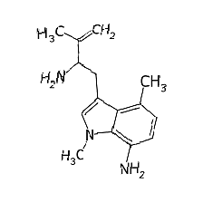 C=C(C)C(N)Cc1cn(C)c2c(N)ccc(C)c12